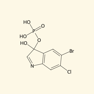 O=P(O)(O)OC1(O)C=Nc2cc(Cl)c(Br)cc21